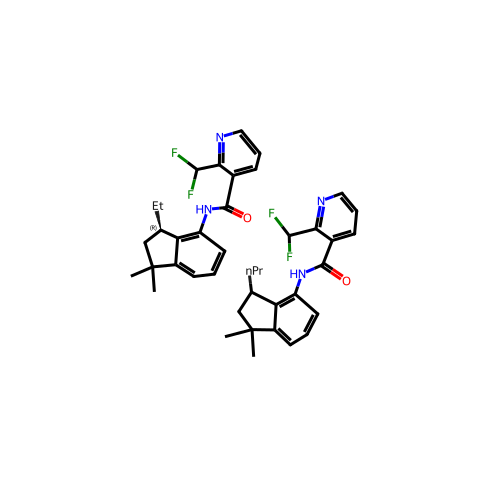 CCCC1CC(C)(C)c2cccc(NC(=O)c3cccnc3C(F)F)c21.CC[C@@H]1CC(C)(C)c2cccc(NC(=O)c3cccnc3C(F)F)c21